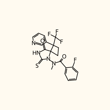 CN(C(=O)c1ccccc1F)N1C(=S)NC(=O)C12CCC2(c1cccnc1)C(F)(F)F